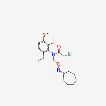 CCc1ccc(SC)c(CC)c1N(CON=C1CCCCCC1)C(=O)CBr